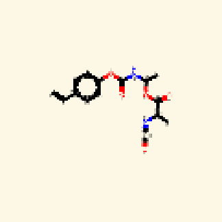 C=Cc1ccc(OC(=O)NC(C)OC(=O)C(C)N=C=O)cc1